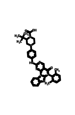 Cc1cccc(C)c1-n1c(=O)c2cnc(Nc3ccc(N4CCN(C(=O)O)C(C(C)(C)C)C4)cc3)nc2n2c3ccccc3nc12